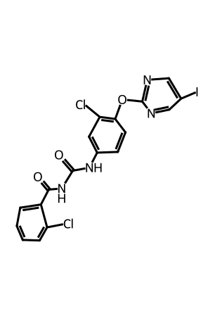 O=C(NC(=O)c1ccccc1Cl)Nc1ccc(Oc2ncc(I)cn2)c(Cl)c1